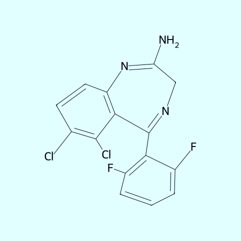 NC1=Nc2ccc(Cl)c(Cl)c2C(c2c(F)cccc2F)=NC1